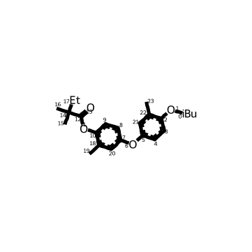 CCC(C)Oc1ccc(Oc2ccc(OC(=O)C(C)(C)CC)c(C)c2)cc1C